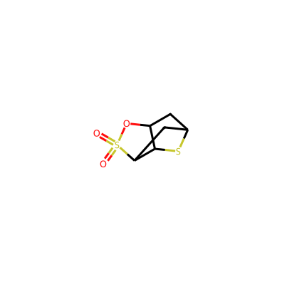 O=S1(=O)OC2CC3CC1C2S3